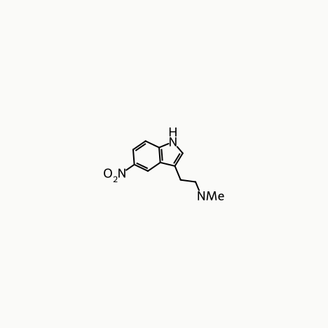 CNCCc1c[nH]c2ccc([N+](=O)[O-])cc12